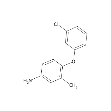 Cc1cc(N)ccc1Oc1cccc(Cl)c1